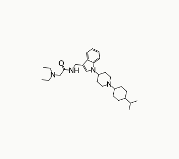 CCN(CC)CC(=O)NCc1cn(C2CCN(C3CCC(C(C)C)CC3)CC2)c2ccccc12